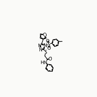 Cc1ccc(S(=O)(=O)n2c(SCC(=O)Nc3ccccc3)nnc2-c2ccoc2)cc1